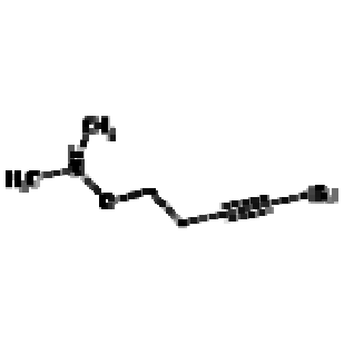 C[SiH](C)OCCC#CC(C)(C)C